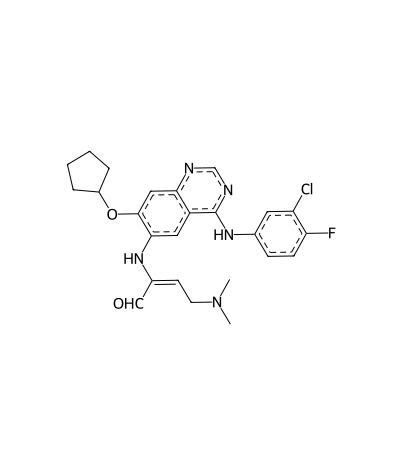 CN(C)CC=C(C=O)Nc1cc2c(Nc3ccc(F)c(Cl)c3)ncnc2cc1OC1CCCC1